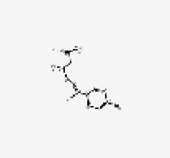 CN(CC=C(I)c1ccc(Br)cc1)CC(=O)O